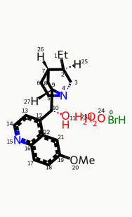 Br.CC[C@H]1C[N@]2CC[C@H]1C[C@H]2[C@H](O)c1ccnc2ccc(OC)cc12.O.O